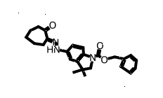 CC1(C)CN(C(=O)OCc2ccccc2)c2ccc(N/N=C3\CCCCCC3=O)cc21